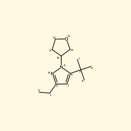 CCc1cc(C(C)(C)C)n(C2CCOC2)n1